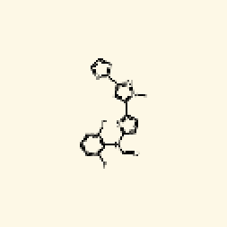 Cn1nc(-c2nccs2)cc1-c1ccc(N(C=O)c2c(F)cccc2F)s1